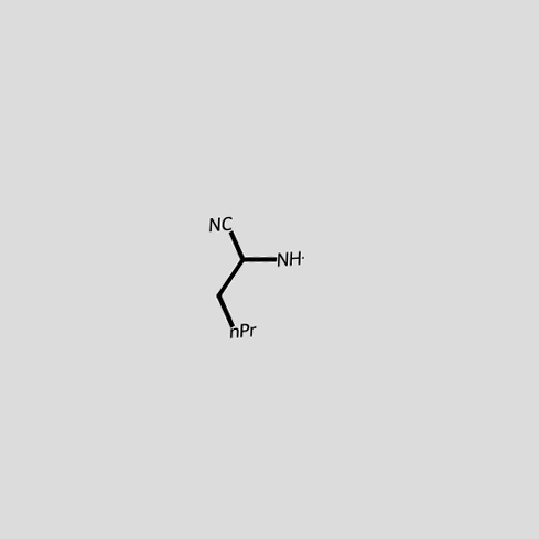 CCCCC([NH])C#N